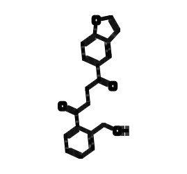 O=C(CCC(=O)c1ccccc1CO)c1ccc2occc2c1